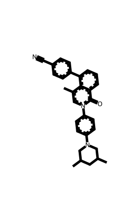 Cc1cn(-c2ccc(N3CC(C)CC(C)C3)cc2)c(=O)c2cccc(-c3ccc(C#N)cc3)c12